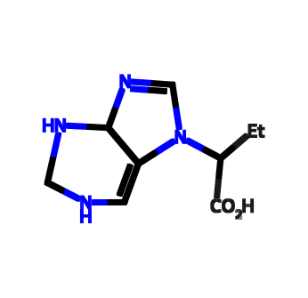 CCC(C(=O)O)N1C=NC2NCNC=C21